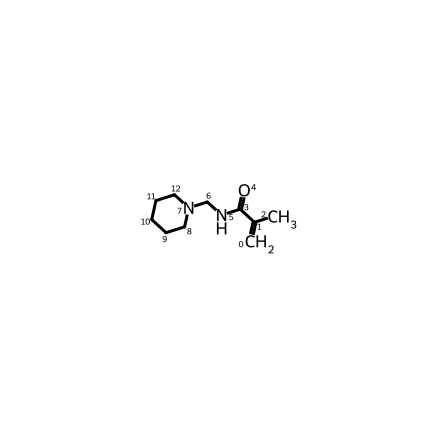 C=C(C)C(=O)NCN1CCCCC1